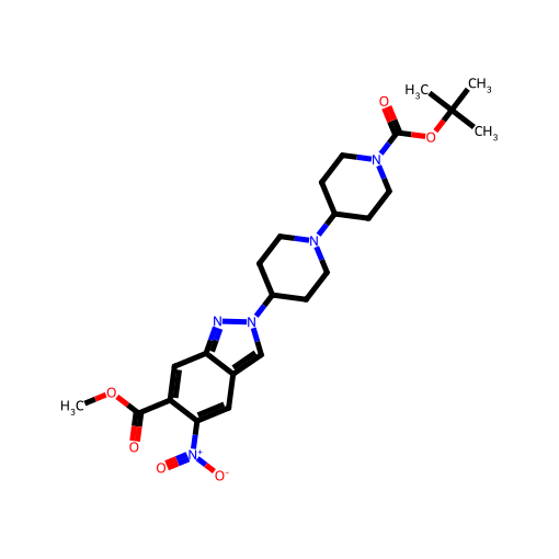 COC(=O)c1cc2nn(C3CCN(C4CCN(C(=O)OC(C)(C)C)CC4)CC3)cc2cc1[N+](=O)[O-]